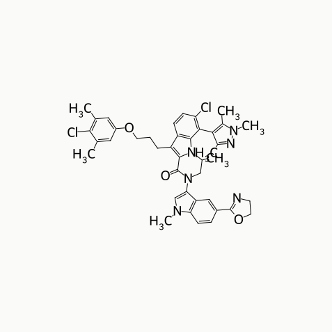 Cc1cc(OCCCc2c3n(c4c(-c5c(C)nn(C)c5C)c(Cl)ccc24)C(C)CN(c2cn(C)c4ccc(C5=NCCO5)cc24)C3=O)cc(C)c1Cl